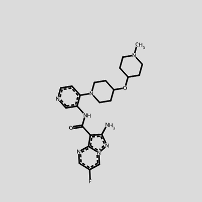 CN1CCC(OC2CCN(c3ccncc3NC(=O)c3c(N)nn4cc(F)cnc34)CC2)CC1